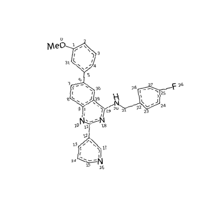 COc1cccc(-c2ccc3nc(-c4cccnc4)nc(NCc4ccc(F)cc4)c3c2)c1